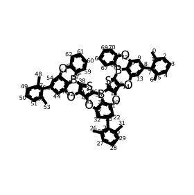 Cc1cccc(C)c1-c1cc2c3c(c1)Oc1c(sc4c1Oc1cc(-c5c(C)cccc5C)cc5c1B4c1sc4c(c1O5)Oc1cc(-c5c(C)cccc5C)cc5c1B4c1ccccc1O5)B3c1ccccc1O2